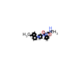 CCc1cccc2c1CCCC2N1CCC(n2c(=O)n(CC(=O)NC)c3ccccc32)CC1